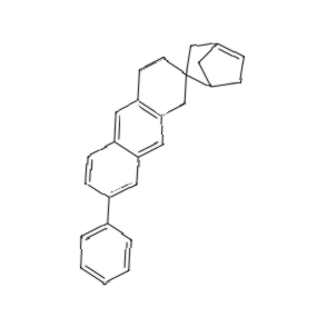 C1=C2CC(C1)C1(CCc3cc4ccc(-c5ccccc5)cc4cc3C1)C2